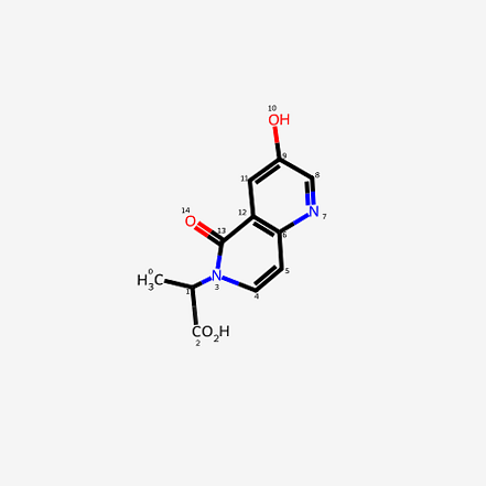 CC(C(=O)O)n1ccc2ncc(O)cc2c1=O